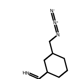 [N-]=[N+]=NCC1CCCC(C=N)C1